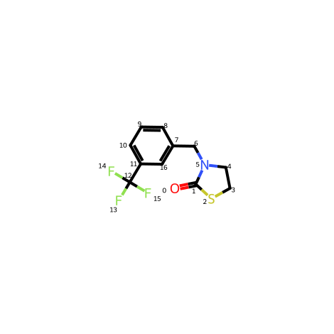 O=C1SCCN1Cc1cccc(C(F)(F)F)c1